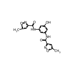 Cc1cc(C(=O)Nc2cc(O)cc(NC(=O)c3cc(C)on3)c2)no1